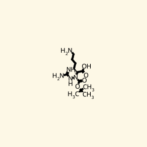 CC(C)(C)OC(=O)N(NC(=N)N)[C@@H](CCCCN)C(=O)O